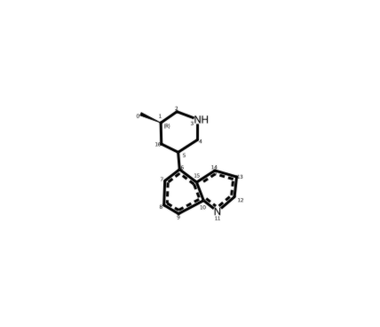 C[C@H]1CNCC(c2cccc3ncccc23)C1